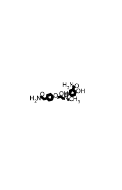 CCN(CC(O)COc1ccc(CC(N)=O)cc1)Oc1ccc(O)c(C(N)=O)c1